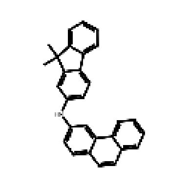 CC1(C)c2ccccc2-c2ccc(Nc3ccc4ccc5ccccc5c4c3)cc21